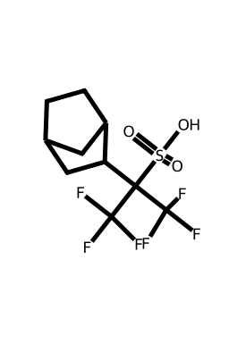 O=S(=O)(O)C(C1CC2CCC1C2)(C(F)(F)F)C(F)(F)F